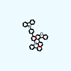 c1ccc(-c2ccccc2N(c2ccc(-c3ccc(-n4c5ccccc5c5ccccc54)cc3)cc2)c2ccccc2-c2cccc3oc4ccccc4c23)cc1